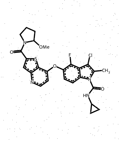 COC1CCCN1C(=O)c1cc2nccc(Oc3ccc4c(c3F)c(Cl)c(C)n4C(=O)NC3CC3)c2s1